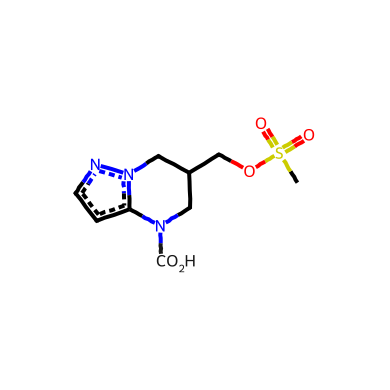 CS(=O)(=O)OCC1CN(C(=O)O)c2ccnn2C1